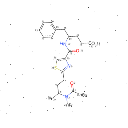 CCCCC(=O)N(CCC)C(CCc1nc(C(=O)NC(CCC(=O)O)Cc2ccccc2)cs1)C(C)C